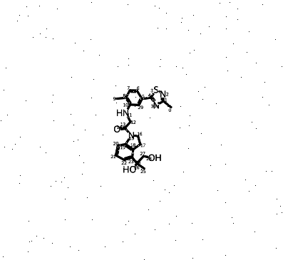 Cc1nsc(-c2ccc(C)c(NCC(=O)N3CCc4c3cccc4C(C)(O)CO)c2)n1